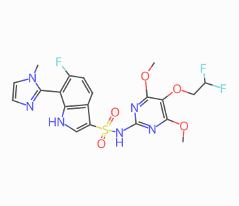 COc1nc(NS(=O)(=O)c2c[nH]c3c(-c4nccn4C)c(F)ccc23)nc(OC)c1OCC(F)F